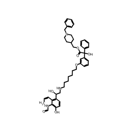 C/C=C\c1c(C(O)CNCCCCCCCOc2cccc(C(O)(C(=O)OCC3CCN(Cc4ccccc4)CC3)c3ccccc3)c2)ccc(O)c1NC=O